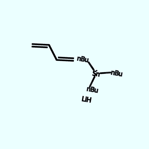 C=CC=C.CCC[CH2][Sn]([CH2]CCC)[CH2]CCC.[LiH]